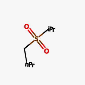 CCCCS(=O)(=O)C(C)C